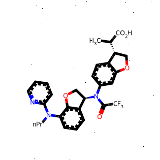 CCCN(c1ccccn1)c1cccc2c1OC[C@H]2N(C(=O)C(F)(F)F)c1ccc2c(c1)OC[C@H]2C(C)C(=O)O